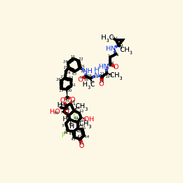 CC1CC1(C)NCCC(=O)N[C@@H](C)C(=O)N[C@@H](C)C(=O)Nc1cccc(Cc2ccc([C@@H]3O[C@@H]4C[C@H]5[C@@H]6C[C@H](F)C7=CC(=O)C=C[C@]7(C)[C@@]6(F)[C@@H](O)C[C@]5(C)[C@]4(C(=O)CO)O3)cc2)c1